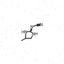 CC1CNC(=NC#N)N1